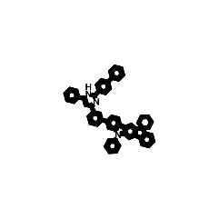 C1=C(c2ccccc2)NC(c2ccc(-c3ccccc3)cc2)N=C1c1cccc(-c2ccc3c4cc5c(cc4n(-c4ccccc4)c3c2)-c2ccccc2C52CCCCC2)c1